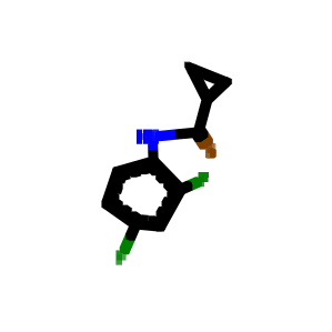 Fc1ccc(NC(=S)C2CC2)c(F)c1